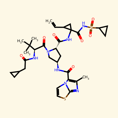 C=CC1CC1(NC(=O)[C@@H]1C[C@@H](NC(=O)c2c(C)nc3sccn23)CN1C(=O)[C@@H](NC(=O)CC1CC1)C(C)(C)C)C(=O)NS(=O)(=O)C1CC1